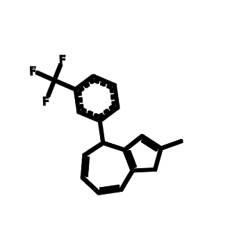 CC1=CC2=C(C=CC=CC2c2cccc(C(F)(F)F)c2)C1